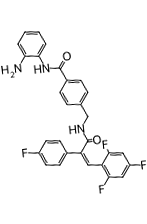 Nc1ccccc1NC(=O)c1ccc(CNC(=O)C(=Cc2c(F)cc(F)cc2F)c2ccc(F)cc2)cc1